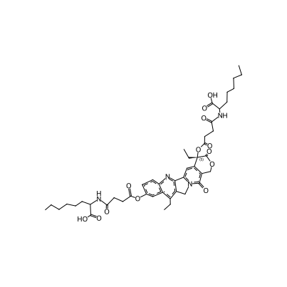 CCCCCCC(NC(=O)CCC(=O)Oc1ccc2nc3c(c(CC)c2c1)Cn1c-3cc2c(c1=O)COC(=O)[C@@]2(CC)OC(=O)CCC(=O)NC(CCCCCC)C(=O)O)C(=O)O